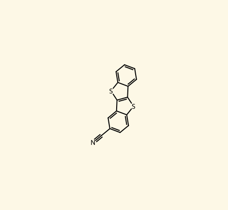 N#Cc1ccc2sc3c4ccccc4sc3c2c1